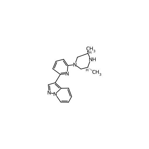 C[C@@H]1CN(c2cccc(-c3cnn4ccccc34)n2)C[C@@H](C)N1